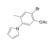 CC(=O)Oc1cc(-n2cccc2)c(C)cc1Br